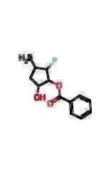 BC1CC(O)C(OC(=O)c2ccccc2)C1F